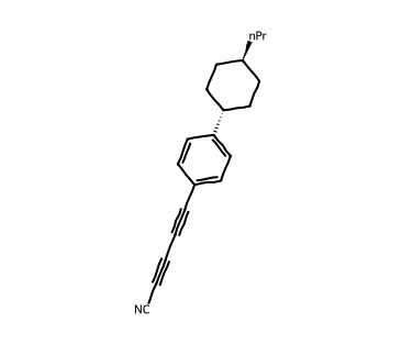 CCC[C@H]1CC[C@H](c2ccc(C#CC#CC#N)cc2)CC1